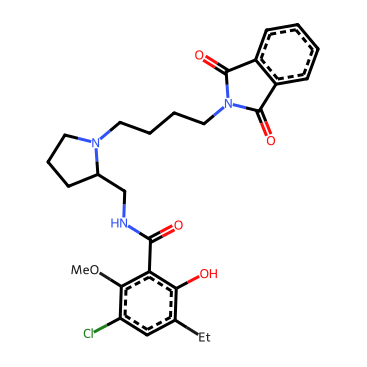 CCc1cc(Cl)c(OC)c(C(=O)NCC2CCCN2CCCCN2C(=O)c3ccccc3C2=O)c1O